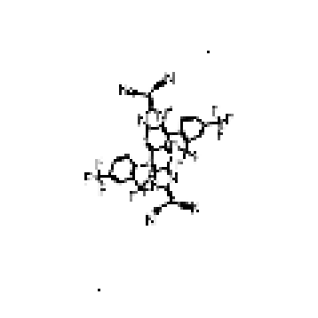 Cn1c(=C(C#N)C#N)nc2cc3c(-c4ccc(C(F)(F)F)cc4C(F)(F)F)c4c(cc3c(-c3ccc(C(F)(F)F)cc3C(F)(F)F)c21)nc(=C(C#N)C#N)n4C